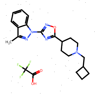 Cc1nn(-c2noc(C3CCN(CC4CCC4)CC3)n2)c2ccccc12.O=C(O)C(F)(F)F